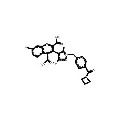 Cc1c(-c2c(C(N)=O)nc3cc(F)ccc3c2C(N)=O)c(C(F)(F)F)nn1Cc1ccc(C(=O)N2CCC2)cc1